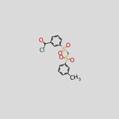 Cc1cccc(S(=O)(=O)CS(=O)(=O)c2cccc(C(=O)Cl)c2)c1